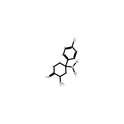 CCN(CC)C1(c2ccc(Cl)cc2)CCC(=O)C(C)C1